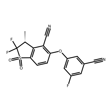 C[C@@H]1c2c(ccc(Oc3cc(F)cc(C#N)c3)c2C#N)S(=O)(=O)C1(F)F